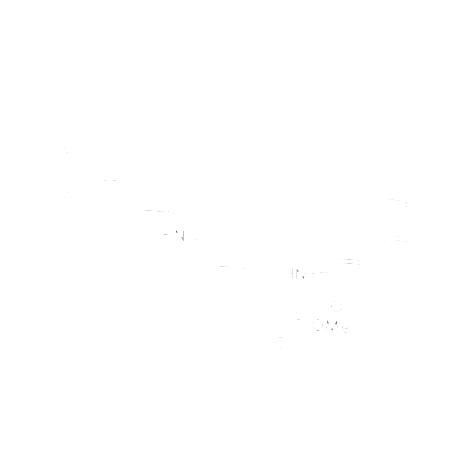 COC(=O)[C@H](CCCCNC(=O)C=Cc1ccccc1)NC(=O)C=Cc1ccccc1